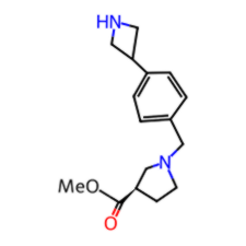 COC(=O)[C@@H]1CCN(Cc2ccc(C3CNC3)cc2)C1